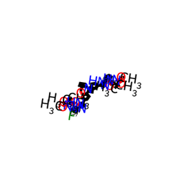 COC(=O)N[C@H](C(=O)N1CCC[C@@H]1c1ncc(-c2ccc3c(c2)cc2n3CC3(CCC3)COc3cc(-c4cnc([C@H]5C[C@H](F)CN5C(=O)[C@@H](NC(=O)OC)C(C)C)[nH]4)ccc3-2)[nH]1)C(C)C